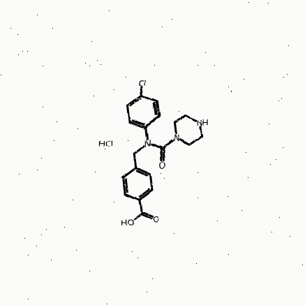 Cl.O=C(O)c1ccc(CN(C(=O)N2CCNCC2)c2ccc(Cl)cc2)cc1